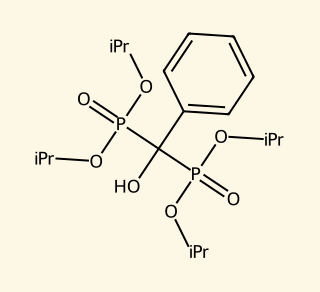 CC(C)OP(=O)(OC(C)C)C(O)(c1ccccc1)P(=O)(OC(C)C)OC(C)C